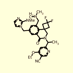 CCOc1cc(C(C)N2CC3(CC(F)(F)C3)c3c(CN(C)C)cc(Cn4ccnc4NC)cc3C2=O)ncc1C#N